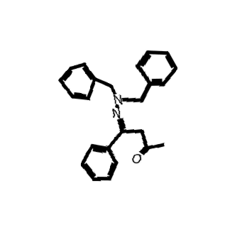 CC(=O)C/C(=N\N(Cc1ccccc1)Cc1ccccc1)c1ccccc1